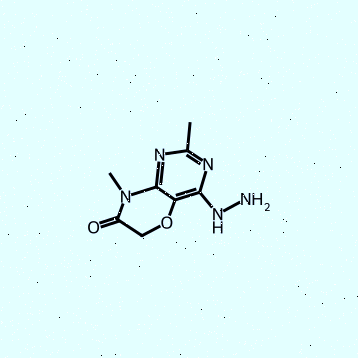 Cc1nc(NN)c2c(n1)N(C)C(=O)CO2